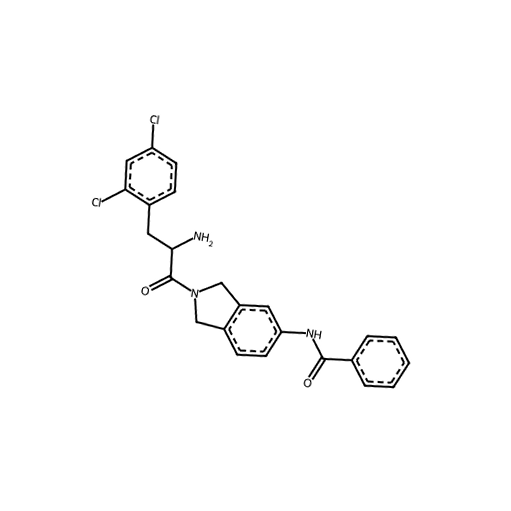 NC(Cc1ccc(Cl)cc1Cl)C(=O)N1Cc2ccc(NC(=O)c3ccccc3)cc2C1